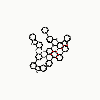 c1ccc(-c2ccc3c(c2)Sc2c4c(cc5oc6ccccc6c25)N(c2ccccc2-c2ccccc2)c2cc5c(cc2B34)B2c3ccc4c(oc6ccccc64)c3Sc3cc(-c4cccc6oc7ccccc7c46)cc(c32)N5c2ccccc2-c2ccccc2)cc1